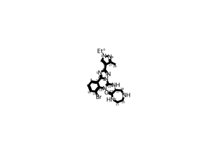 CCn1cc(-c2nc3c4cccc(Br)c4nc(N[C@@H]4CNCCNC4=O)n3n2)c(C)n1